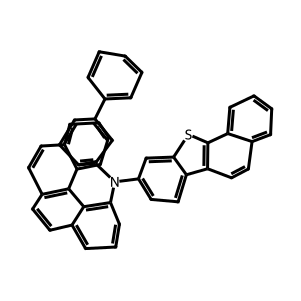 c1ccc(-c2cccc(N(c3ccc4c(c3)sc3c5ccccc5ccc43)c3cccc4ccc5ccc6ccccc6c5c34)c2)cc1